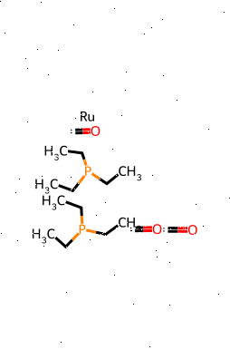 CCP(CC)CC.CCP(CC)CC.[C]=O.[C]=O.[C]=O.[Ru]